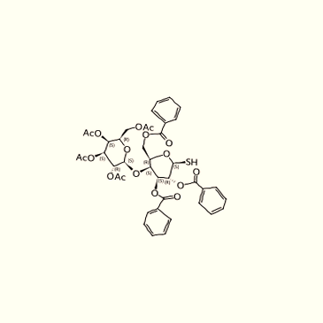 CC(=O)OC[C@H]1O[C@@H](O[C@@H]2[C@H](OC(=O)c3ccccc3)[C@@H](OC(=O)c3ccccc3)[C@H](S)O[C@@H]2COC(=O)c2ccccc2)[C@H](OC(C)=O)[C@@H](OC(C)=O)[C@H]1OC(C)=O